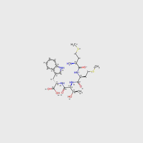 CSCC[C@H](NC(=O)[C@@H](N)CCSC)C(=O)N[C@H](C(=O)N[C@@H](Cc1c[nH]c2ccccc12)C(=O)O)[C@@H](C)O